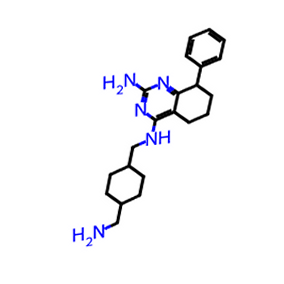 NCC1CCC(CNc2nc(N)nc3c2CCCC3c2ccccc2)CC1